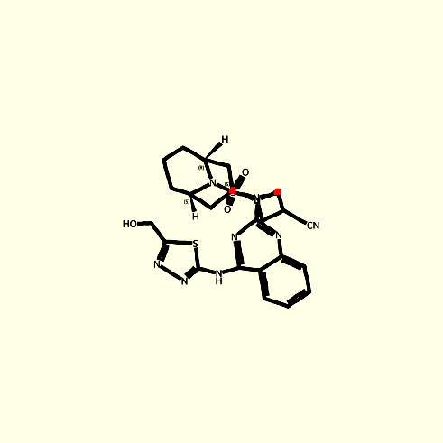 CN(c1nc(Nc2nnc(CO)s2)c2ccccc2n1)[C@@H]1C[C@H]2CCC[C@@H](C1)N2S(=O)(=O)N1CC(C#N)C1